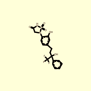 O=C1CN(c2ccc(CCC(O)(c3ccccc3)C(F)(F)F)cc2O)S(=O)(=O)N1